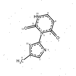 Cc1cnc(-n2c(=O)cc[nH]c2=O)s1